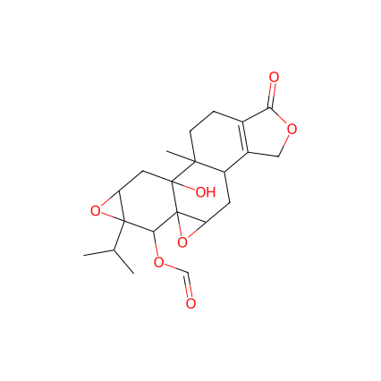 CC(C)C12OC1CC1(O)C3(C)CCC4=C(COC4=O)C3CC3OC31C2OC=O